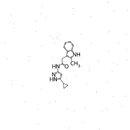 Cc1[nH]c2ccccc2c1CC(=O)Nc1cc(C2CC2)[nH]n1